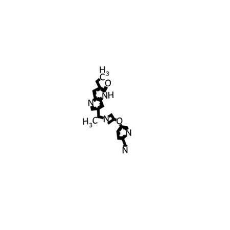 CCc1cc2ncc([C@H](C)N3CC(Oc4ccc(C#N)nc4)C3)cc2[nH]c1=O